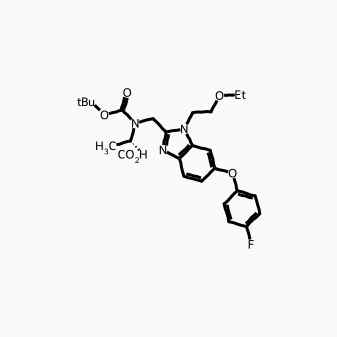 CCOCCn1c(CN(C(=O)OC(C)(C)C)[C@@H](C)C(=O)O)nc2ccc(Oc3ccc(F)cc3)cc21